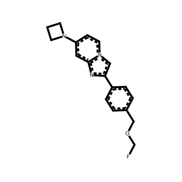 FCOCc1ccc(-c2cn3ccc(N4CCC4)cc3n2)cc1